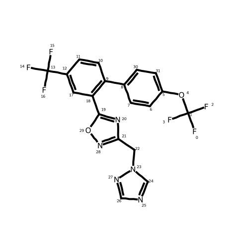 FC(F)(F)Oc1ccc(-c2ccc(C(F)(F)F)cc2-c2nc(Cn3cncn3)no2)cc1